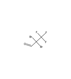 O=CC(Br)(Br)C(F)(F)F